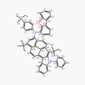 CC(C)(C)c1cc(N(c2ccc([Si](C)(C)C)cc2)c2cccc3c2oc2ccccc23)c2ccc3c(C(C)(C)C)c4c(c5ccc1c2c35)c1ccccc1n4-c1ccccc1